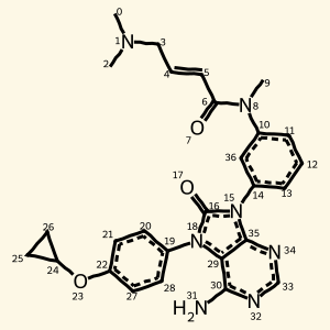 CN(C)CC=CC(=O)N(C)c1cccc(-n2c(=O)n(-c3ccc(OC4CC4)cc3)c3c(N)ncnc32)c1